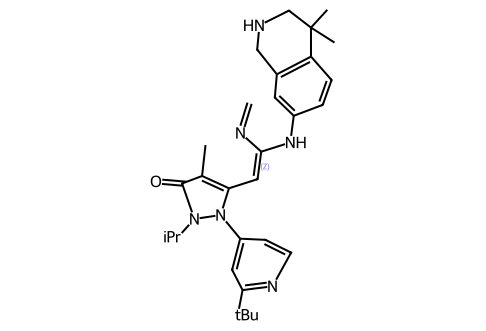 C=N/C(=C\c1c(C)c(=O)n(C(C)C)n1-c1ccnc(C(C)(C)C)c1)Nc1ccc2c(c1)CNCC2(C)C